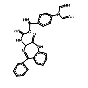 N=CN(C=N)c1ccc(C(=N)OC(=N)NC2N=C(c3ccccc3)c3ccccc3NC2=O)cc1